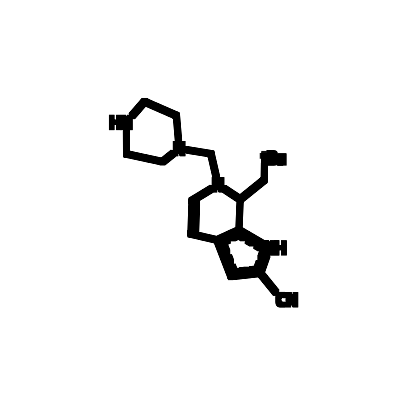 CC(C)(C)CC1c2[nH]c(C#N)cc2C=CN1CN1CCNCC1